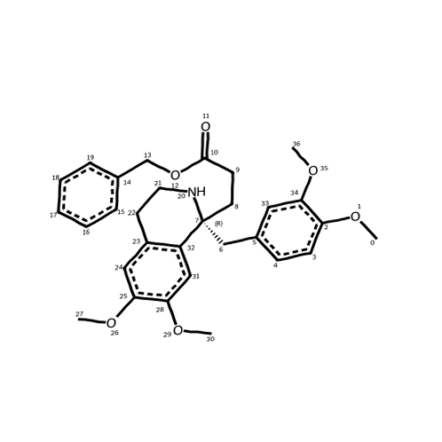 COc1ccc(C[C@@]2(CCC(=O)OCc3ccccc3)NCCc3cc(OC)c(OC)cc32)cc1OC